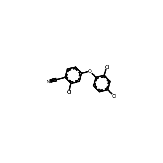 N#Cc1ccc(Oc2ccc(Cl)cc2Cl)cc1Cl